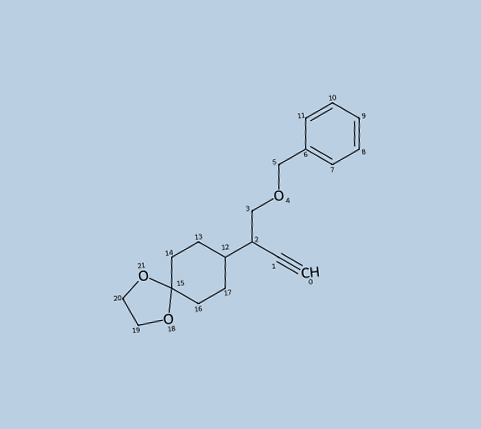 C#CC(COCc1ccccc1)C1CCC2(CC1)OCCO2